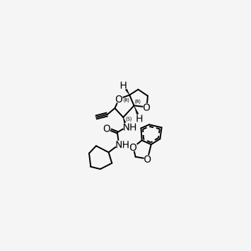 C#CC1O[C@@H]2CCO[C@@H]2[C@H]1NC(=O)NC1CCCCC1.c1ccc2c(c1)OCO2